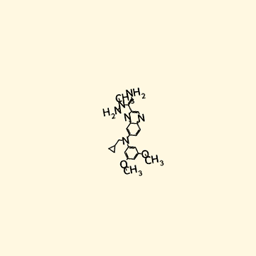 COc1cc(OC)cc(N(CC2CC2)c2ccc3ncc(/C(=C/N)N(C)N)nc3c2)c1